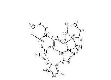 C[C@@H]1COCCN1c1cc(C2(O)CCOCC2)n2ncc(-c3ccnn3PI)c2n1